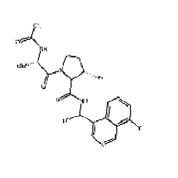 CC(C)[C@H]1CCN(C(=O)[C@@H](NC(=O)C(F)(F)F)C(C)(C)C)[C@@H]1C(=O)NC(C#N)c1cncc2c(F)cccc12